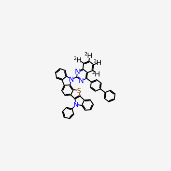 [2H]c1c([2H])c([2H])c2c(-c3ccc(-c4ccccc4)cc3)nc(-n3c4ccccc4c4ccc5c(sc6c7ccccc7n(-c7ccccc7)c56)c43)nc2c1[2H]